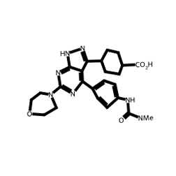 CNC(=O)Nc1ccc(-c2nc(N3CCOCC3)nc3[nH]nc(C4CCC(C(=O)O)CC4)c23)cc1